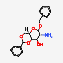 N[C@H]1C(OCc2ccccc2)O[C@@H]2COC(c3ccccc3)OC2[C@@H]1O